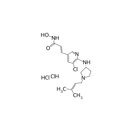 CC(C)=CCN1CC[C@@H](Nc2ncc(/C=C/C(=O)NO)cc2Cl)C1.Cl.Cl